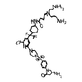 NCCN(CCN)CCCC(=O)NC1CCC(C(F)(F)c2cc(Cl)nc(N3CCN(S(=O)(=O)c4ccc(N5C[C@H](N)CC5=O)cc4)CC3)c2)CC1